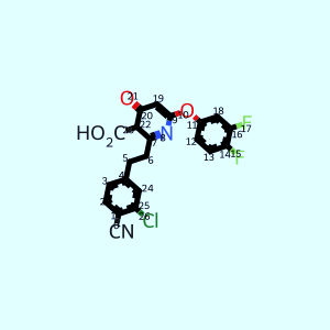 N#Cc1ccc(CCC2=NC(Oc3ccc(F)c(F)c3)=CC(=O)C2C(=O)O)cc1Cl